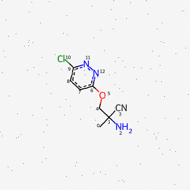 CC(N)(C#N)COc1ccc(Cl)nn1